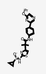 CC(C)Oc1cncc(-c2ccc(NC(=O)C(C)(C)c3csc(N[S+]([O-])C4CC4)n3)cc2)n1